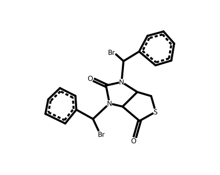 O=C1SCC2C1N(C(Br)c1ccccc1)C(=O)N2C(Br)c1ccccc1